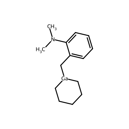 CN(C)c1ccccc1[CH2][Ga]1[CH2]CCC[CH2]1